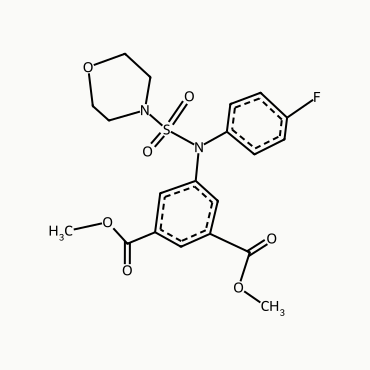 COC(=O)c1cc(C(=O)OC)cc(N(c2ccc(F)cc2)S(=O)(=O)N2CCOCC2)c1